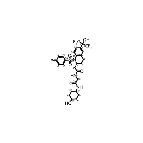 O=C(C[C@@H]1CCc2cc(C(O)(C(F)(F)F)C(F)(F)F)ccc2N1S(=O)(=O)c1ccc(F)cc1)NCC(=O)NC1CCC(O)CC1